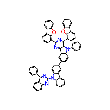 c1ccc(-c2nc(-n3c4ccccc4c4cc(-c5ccc6c(c5)c5nc(-c7cccc8c7oc7ccccc78)nc(-c7cccc8c7oc7ccccc78)c5n6-c5ccccc5)ccc43)nc3ccccc23)cc1